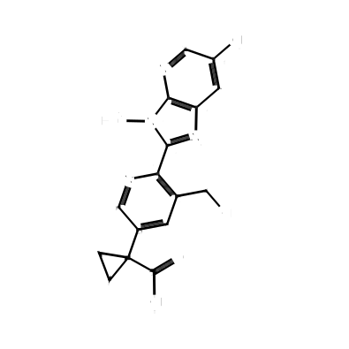 CCc1cc(C2(C(=O)O)CC2)cnc1-c1nc2cc(C)cnc2n1C